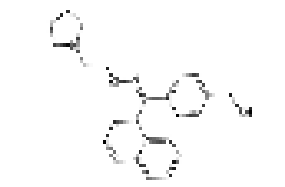 SCc1ccc(/C(=N/OCCN2CCCC2)c2cccc3ccccc23)cc1